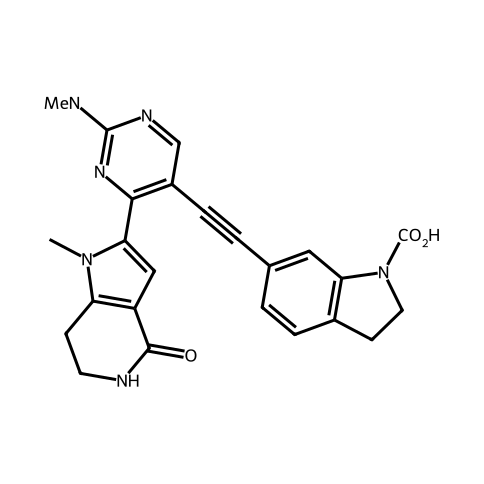 CNc1ncc(C#Cc2ccc3c(c2)N(C(=O)O)CC3)c(-c2cc3c(n2C)CCNC3=O)n1